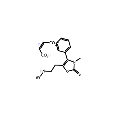 CC(C)NCCc1sc(=S)n(C)c1-c1ccccc1.O=C(O)/C=C\C(=O)O